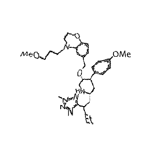 CCC(C[C@H]1C[C@H](c2ccc(OC)cc2)[C@@H](OCc2ccc3c(c2)N(CCCOC)CCO3)CN1)c1nnn(C)n1